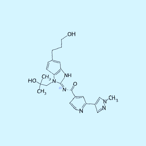 Cn1cc(-c2cc(C(=O)/N=c3\[nH]c4cc(CCCO)ccc4n3CC(C)(C)O)ccn2)cn1